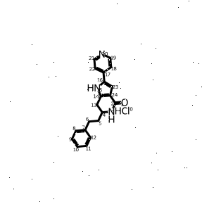 Cl.O=C1NC(CCc2ccccc2)Cc2[nH]c(-c3ccncc3)cc21